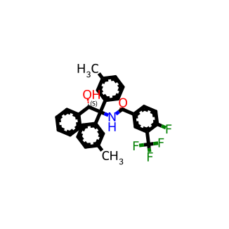 Cc1cccc(C(NC(=O)c2ccc(F)c(C(F)(F)F)c2)(c2cccc(C)c2)[C@@H](O)c2ccccc2)c1